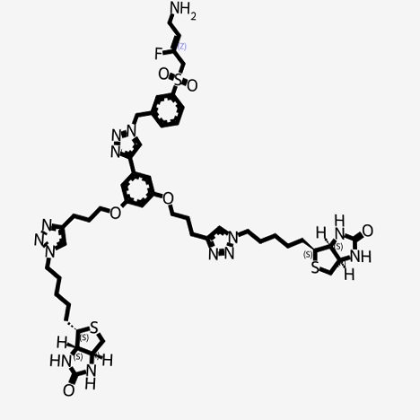 NC/C=C(\F)CS(=O)(=O)c1cccc(Cn2cc(-c3cc(OCCCc4cn(CCCCC[C@@H]5SC[C@@H]6NC(=O)N[C@@H]65)nn4)cc(OCCCc4cn(CCCCC[C@@H]5SC[C@@H]6NC(=O)N[C@@H]65)nn4)c3)nn2)c1